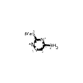 Bc1cnnc(SC)n1